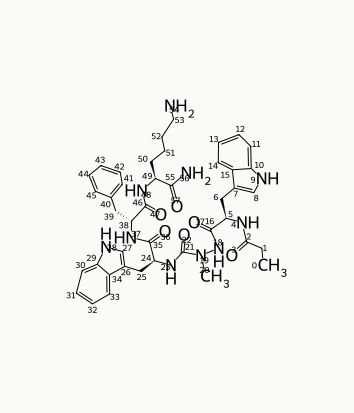 CCC(=O)N[C@H](Cc1c[nH]c2ccccc12)C(=O)NN(C)C(=O)N[C@@H](Cc1c[nH]c2ccccc12)C(=O)N[C@H](Cc1ccccc1)C(=O)N[C@@H](CCCCN)C(N)=O